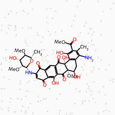 COC(=O)c1c(C)c(N)c2c(c1O)[C@]1(O)C(=O)c3cc4c(c(O)c3C(=O)[C@]1(OC)[C@H](O)C2)C(=O)C=C(N[C@H]1O[C@@H](C)[C@H](OC)[C@@H](O)[C@H]1OC)C4=O